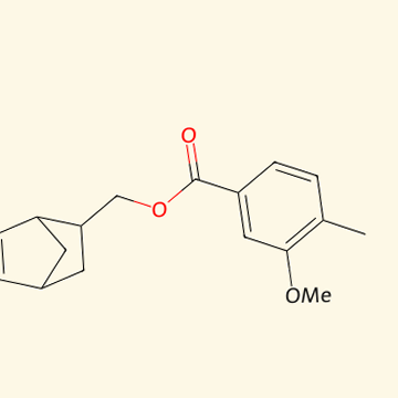 COc1cc(C(=O)OCC2CC3C=CC2C3)ccc1C